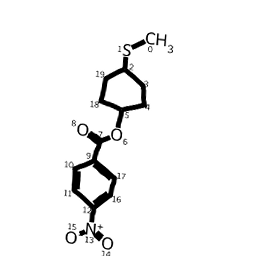 CSC1CCC(OC(=O)c2ccc([N+](=O)[O-])cc2)CC1